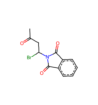 CC(=O)CC(Br)N1C(=O)c2ccccc2C1=O